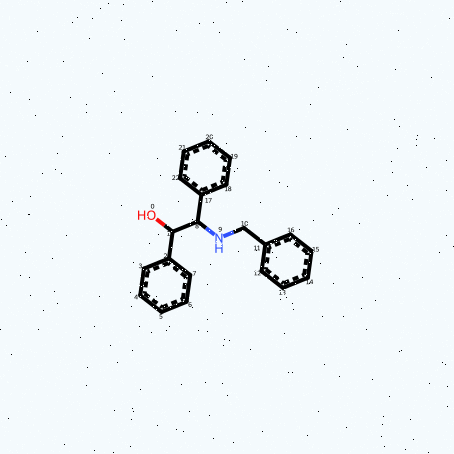 OC(c1ccccc1)C(NCc1ccccc1)c1ccccc1